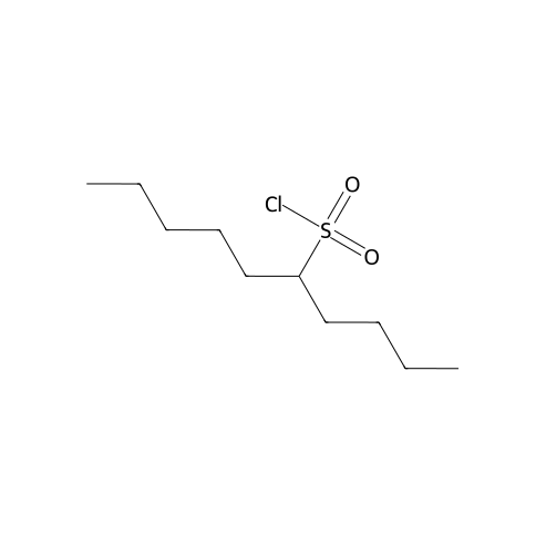 CCCCCC(CCCC)S(=O)(=O)Cl